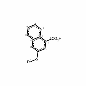 CCSc1cc(C(=O)O)c2ncccc2c1